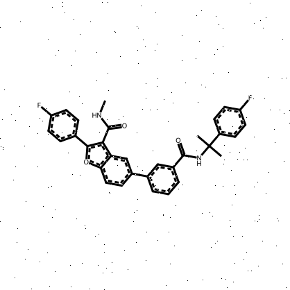 CNC(=O)c1c(-c2ccc(F)cc2)oc2ccc(-c3cccc(C(=O)NC(C)(C)c4ccc(F)cc4)c3)cc12